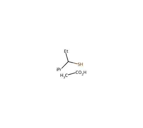 CC(=O)O.CCC(S)C(C)C